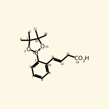 CC1(C)OB(c2ccccc2/C=C/CC(=O)O)OC1(C)C